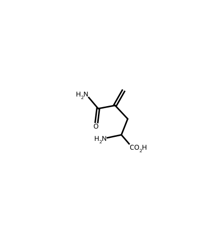 C=C(CC(N)C(=O)O)C(N)=O